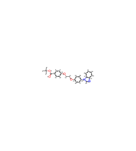 CC(C)(C)OC(=O)c1ccc(OCCOc2ccc(-n3cnc4ccccc43)cc2)cc1